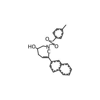 Cc1ccc(S(=O)(=O)N2CC(c3ccc4ccccc4c3)=CCC(O)C2)cc1